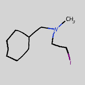 CN(CCI)CC1CCCCC1